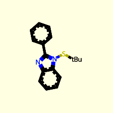 CC(C)(C)Sn1c(-c2ccccc2)nc2ccccc21